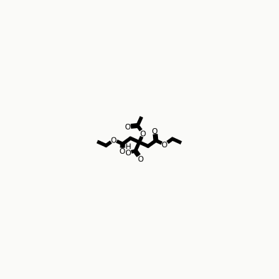 CCOC(=O)CC(CC(=O)OCC)(OC(C)=O)C(=O)O